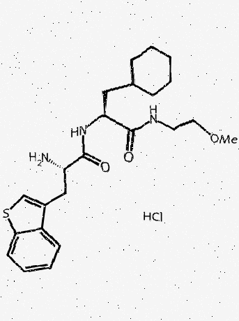 COCCNC(=O)[C@H](CC1CCCCC1)NC(=O)[C@@H](N)Cc1csc2ccccc12.Cl